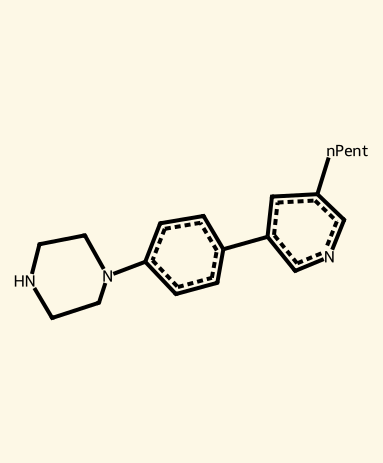 CCCCCc1cncc(-c2ccc(N3CCNCC3)cc2)c1